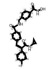 O=C(NC1CC1)/C(=C\c1ccc(C(=O)NCc2ccc(C(=O)NO)cc2)cc1)c1ccc(F)cc1